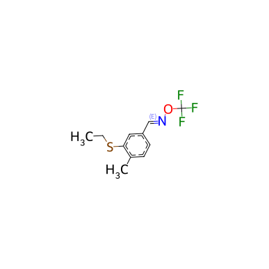 CCSc1cc(/C=N/OC(F)(F)F)ccc1C